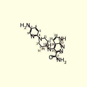 C[C@@H]1CN(c2ccc(N)cn2)CC[C@@H]1Nc1c(C(N)=O)nnc2[nH]ccc12